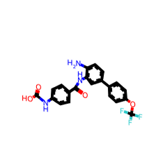 Nc1ccc(-c2ccc(OC(F)(F)F)cc2)cc1NC(=O)c1ccc(NC(=O)O)cc1